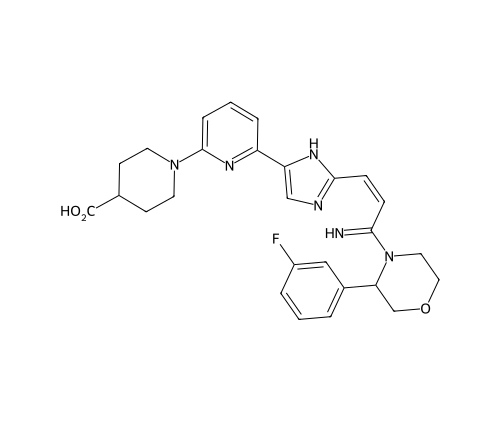 N=C(/C=C\c1ncc(-c2cccc(N3CCC(C(=O)O)CC3)n2)[nH]1)N1CCOCC1c1cccc(F)c1